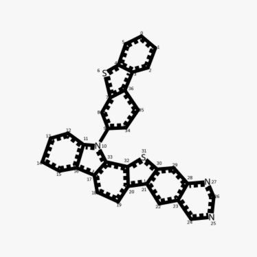 c1ccc2c(c1)sc1cc(-n3c4ccccc4c4ccc5c6cc7cncnc7cc6sc5c43)ccc12